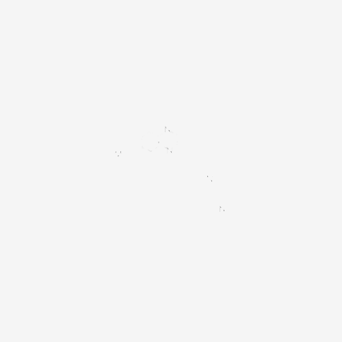 COc1ccc2ncc(OCCCN3CCC(CN)C3)nc2c1